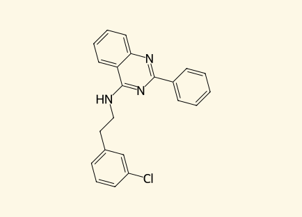 Clc1cccc(CCNc2nc(-c3ccccc3)nc3ccccc23)c1